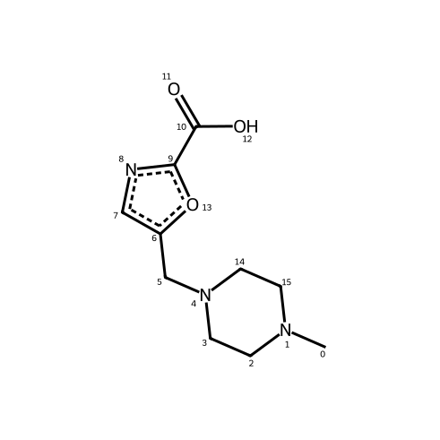 CN1CCN(Cc2cnc(C(=O)O)o2)CC1